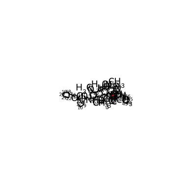 COc1cc(NC(=O)[C@H]2CCCN2C(=O)OCc2ccccc2)c(C)c2c1C[C@H]1C[C@H]3[C@H](N(C)C)c4onc(OCc5ccccc5)c4C(=O)[C@@]3(O[Si](C)(C)C(C)(C)C)C(O)=C1C2=O